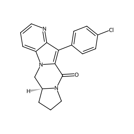 O=C1c2c(-c3ccc(Cl)cc3)c3ncccc3n2C[C@@H]2CCCN12